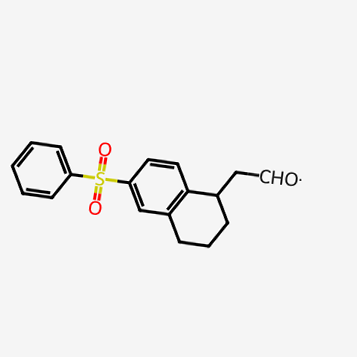 O=[C]CC1CCCc2cc(S(=O)(=O)c3ccccc3)ccc21